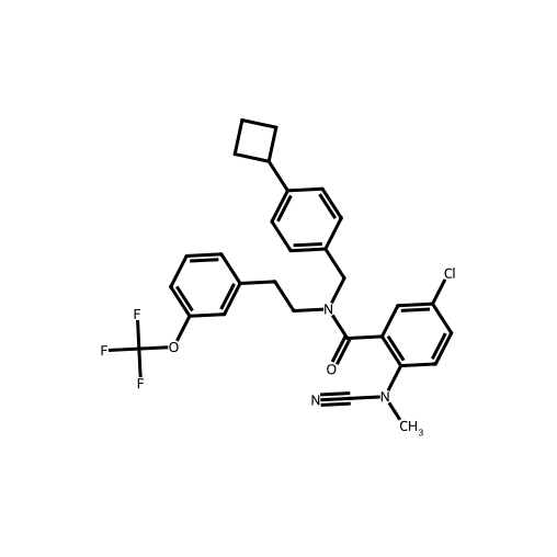 CN(C#N)c1ccc(Cl)cc1C(=O)N(CCc1cccc(OC(F)(F)F)c1)Cc1ccc(C2CCC2)cc1